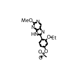 CCOc1cc(OS(C)(=O)=O)ccc1-c1nc2cnc(OC)nc2[nH]1